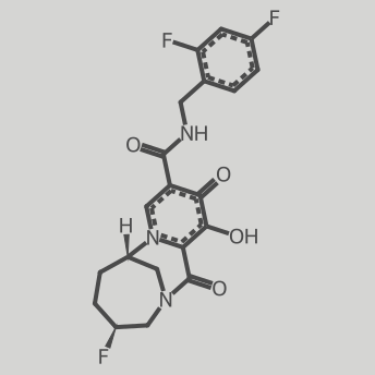 O=C(NCc1ccc(F)cc1F)c1cn2c(c(O)c1=O)C(=O)N1C[C@@H](F)CC[C@H]2C1